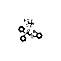 O=C(CNCc1ccccc1Br)N(c1ccccc1)c1ccccc1.O=C(O)C(F)(F)F